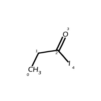 CCC(=O)I